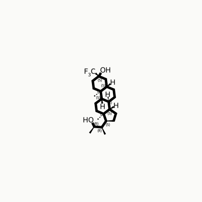 C[C@@H]([C@@H](C)O)[C@@H]1CC[C@H]2[C@@H]3CC[C@H]4C[C@](O)(C(F)(F)F)CC[C@]4(C)[C@H]3CC[C@]12C